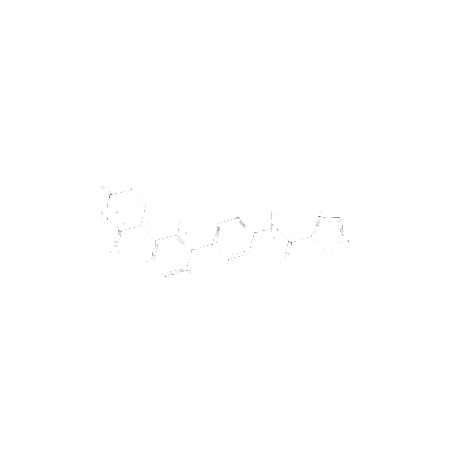 O=C1CCC(c2cccc(-c3ccc(NC(=O)c4ccno4)cc3)c2Cl)C(=O)N1